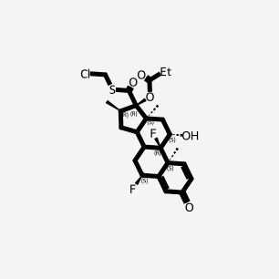 CCC(=O)O[C@]1(C(=O)SCCl)[C@H](C)CC2C3C[C@H](F)C4=CC(=O)C=C[C@]4(C)[C@@]3(F)[C@@H](O)C[C@@]21C